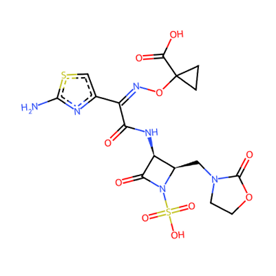 Nc1nc(C(=NOC2(C(=O)O)CC2)C(=O)N[C@@H]2C(=O)N(S(=O)(=O)O)[C@@H]2CN2CCOC2=O)cs1